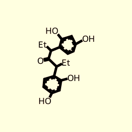 CCC(C(=O)C(CC)c1ccc(O)cc1O)c1ccc(O)cc1O